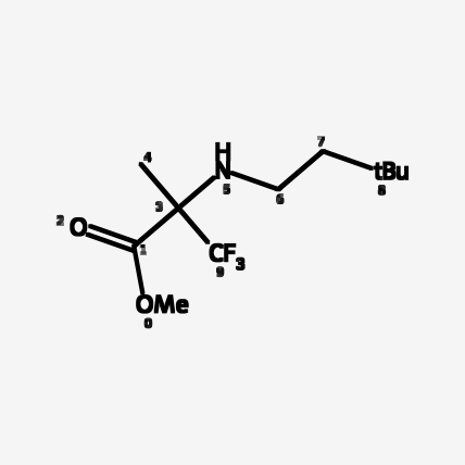 COC(=O)C(C)(NCCC(C)(C)C)C(F)(F)F